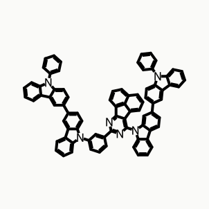 c1ccc(-n2c3ccccc3c3cc(-c4ccc5c(c4)c4ccccc4n5-c4cccc(-c5nc6c(c(-n7c8ccccc8c8ccc(-c9ccc%10c(c9)c9ccccc9n%10-c9ccccc9)cc87)n5)-c5cccc7cccc-6c57)c4)ccc32)cc1